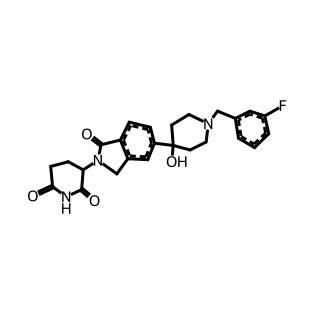 O=C1CCC(N2Cc3cc(C4(O)CCN(Cc5cccc(F)c5)CC4)ccc3C2=O)C(=O)N1